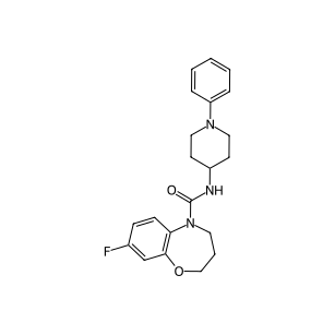 O=C(NC1CCN(c2ccccc2)CC1)N1CCCOc2cc(F)ccc21